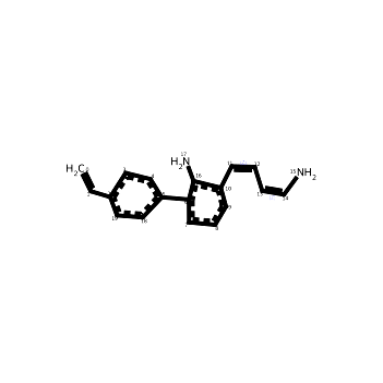 C=Cc1ccc(-c2cccc(/C=C\C=C/N)c2N)cc1